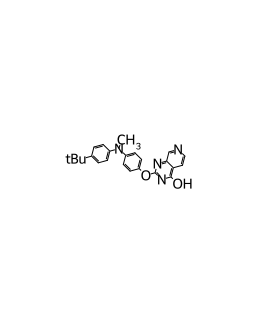 CN(c1ccc(Oc2nc(O)c3ccncc3n2)cc1)c1ccc(C(C)(C)C)cc1